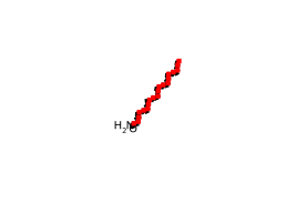 CC(C)=CCCC(C)=CCCC(C)=CCCC(C)=CCCC(C)=CCCC(C)=CCCC(C)=CCCC(C)=CCCC(C)=CCCC(C)=CC(N)=O